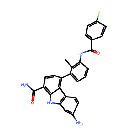 Cc1c(NC(=O)c2ccc(F)cc2)cccc1-c1ccc(C(N)=O)c2[nH]c3cc(N)ccc3c12